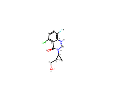 O=c1c2c(Cl)ccc(F)c2ncn1C1CC1CO